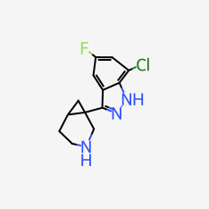 Fc1cc(Cl)c2[nH]nc(C34CNCCC3C4)c2c1